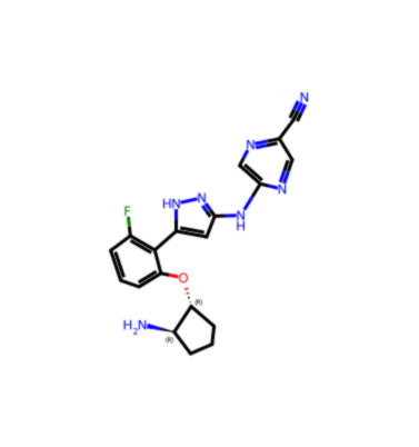 N#Cc1cnc(Nc2cc(-c3c(F)cccc3O[C@@H]3CCC[C@H]3N)[nH]n2)cn1